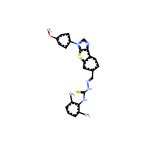 Cc1cccc(C)c1NC(=S)NN=Cc1ccc2c(c1)sc1c2ncn1-c1ccc(OC(F)(F)F)cc1